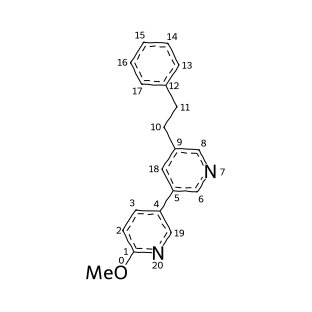 COc1ccc(-c2cncc(CCc3ccccc3)c2)cn1